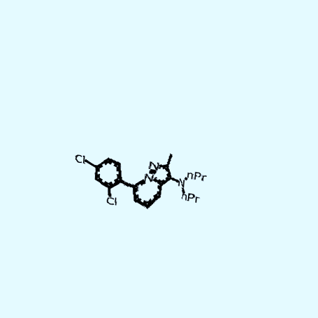 CCCN(CCC)c1c(C)nn2c(-c3ccc(Cl)cc3Cl)cccc12